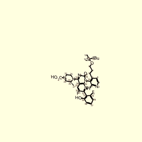 CC(C)c1nccc(CCCO[Si](C)(C)C(C)(C)C)c1-n1c(=O)nc(N2CCN(C(=O)O)C[C@@H]2C)c2cc(F)c(-c3c(O)cccc3F)nc21